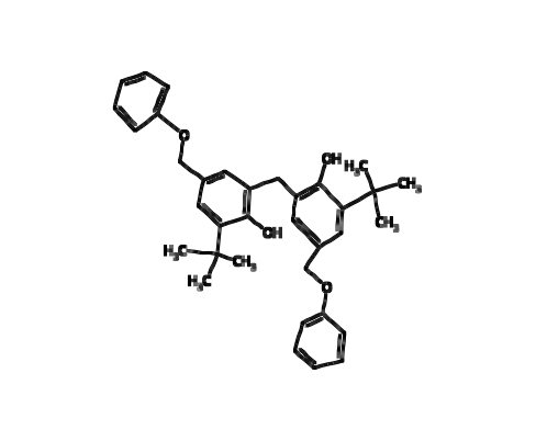 CC(C)(C)c1cc(COc2ccccc2)cc(Cc2cc(COc3ccccc3)cc(C(C)(C)C)c2O)c1O